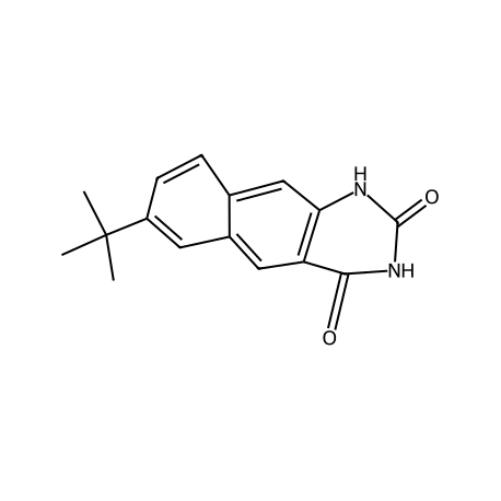 CC(C)(C)c1ccc2cc3[nH]c(=O)[nH]c(=O)c3cc2c1